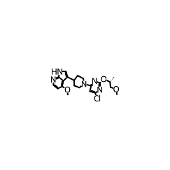 COC[C@@H](C)Oc1nc(Cl)cc(N2CCC(c3c[nH]c4nccc(OC)c34)CC2)n1